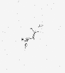 CC(C)=C[SiH2][O-].[Li+]